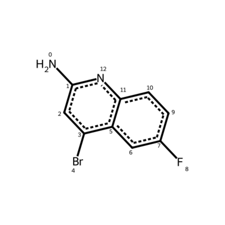 Nc1cc(Br)c2cc(F)ccc2n1